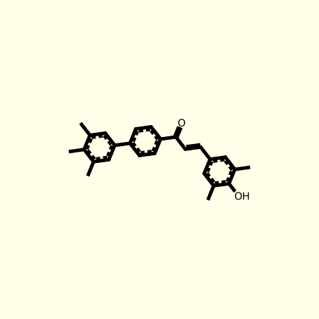 Cc1cc(-c2ccc(C(=O)C=Cc3cc(C)c(O)c(C)c3)cc2)cc(C)c1C